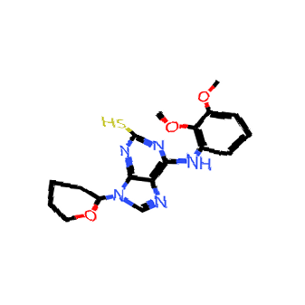 COc1cccc(Nc2nc(S)nc3c2ncn3C2CCCCO2)c1OC